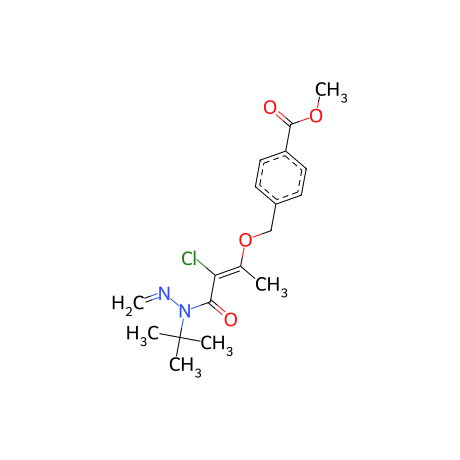 C=NN(C(=O)/C(Cl)=C(\C)OCc1ccc(C(=O)OC)cc1)C(C)(C)C